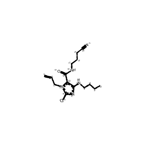 C=CCn1c(Cl)nc(NCCCC)c1C(=O)NCCCC#N